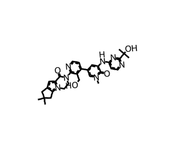 Cn1cc(-c2ccnc(N3CCn4c(cc5c4CC(C)(C)C5)C3=O)c2CO)cc(Nc2ccnc(C(C)(C)O)n2)c1=O